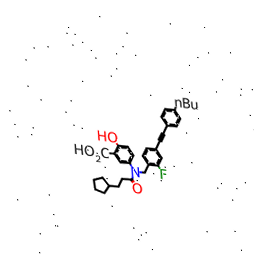 CCCCc1ccc(C#Cc2ccc(CN(C(=O)CCC3CCCC3)c3ccc(O)c(C(=O)O)c3)c(F)c2)cc1